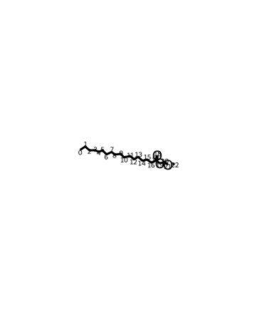 CCCCCCCCCCCCCCCCCC(=O)OCOC